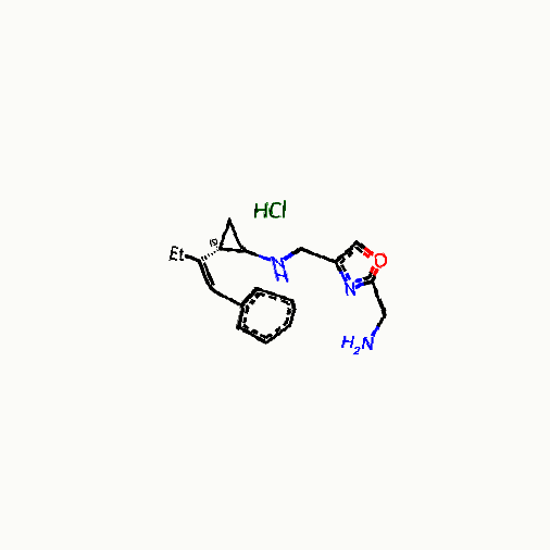 CCC(=Cc1ccccc1)[C@@H]1CC1NCc1coc(CN)n1.Cl